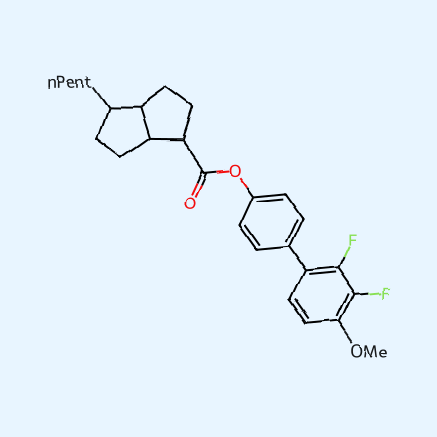 CCCCCC1CCC2C(C(=O)Oc3ccc(-c4ccc(OC)c(F)c4F)cc3)CCC12